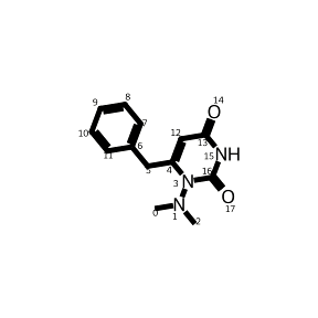 CN(C)n1c(Cc2ccccc2)cc(=O)[nH]c1=O